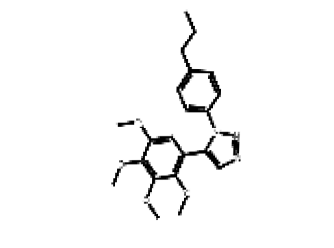 CCCc1ccc(-n2nncc2-c2cc(OC)c(OC)c(OC)c2OC)cc1